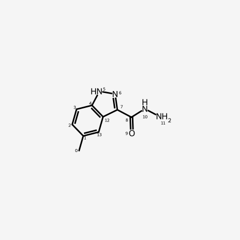 Cc1ccc2[nH]nc(C(=O)NN)c2c1